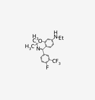 CCNc1ccc2c(c1)OC(C)(C)N=C2c1ccc(F)c(C(F)(F)F)c1